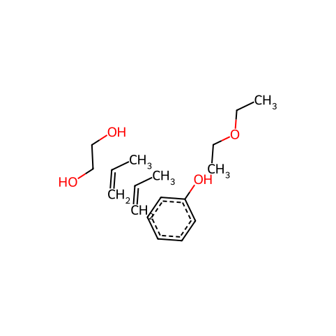 C=CC.C=CC.CCOCC.OCCO.Oc1ccccc1